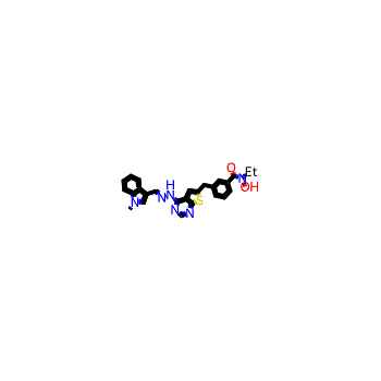 CCN(O)C(=O)c1cccc(Cc2cc3c(NN=Cc4cn(C)c5ccccc45)ncnc3s2)c1